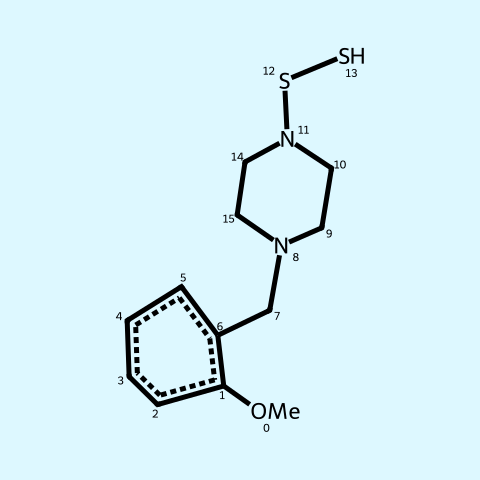 COc1ccccc1CN1CCN(SS)CC1